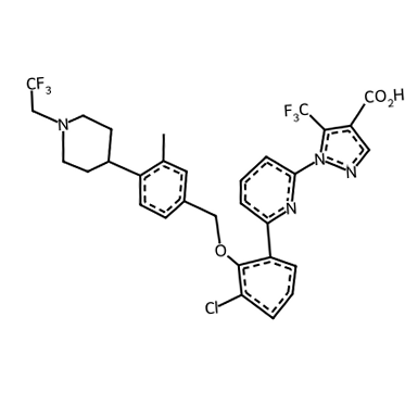 Cc1cc(COc2c(Cl)cccc2-c2cccc(-n3ncc(C(=O)O)c3C(F)(F)F)n2)ccc1C1CCN(CC(F)(F)F)CC1